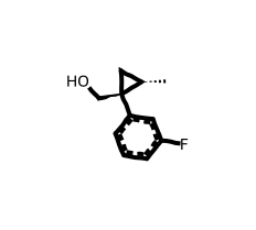 C[C@H]1C[C@@]1(CO)c1cccc(F)c1